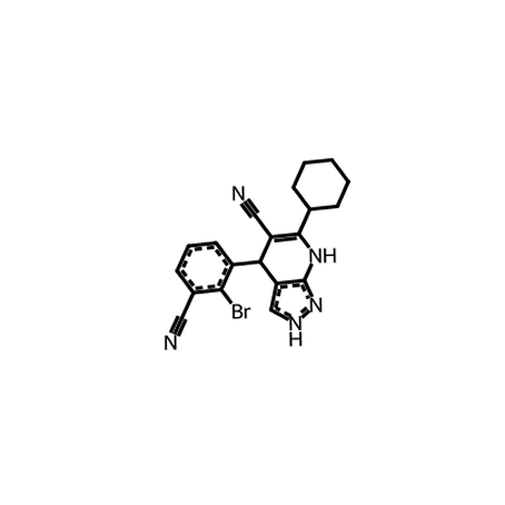 N#CC1=C(C2CCCCC2)Nc2n[nH]cc2C1c1cccc(C#N)c1Br